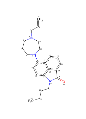 C=CCN1CCCN(c2ccc3c4c(cccc24)C(=O)N3CCCC(F)(F)F)CC1